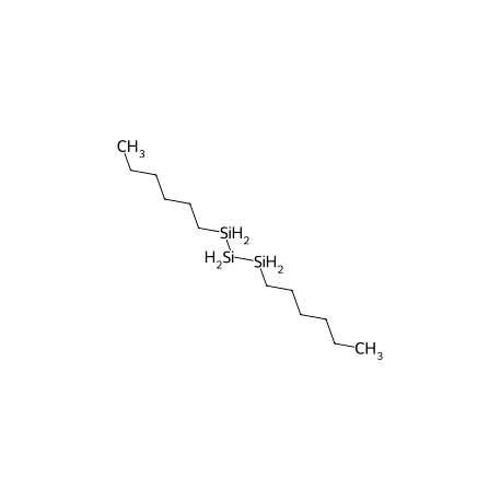 CCCCCC[SiH2][SiH2][SiH2]CCCCCC